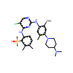 COc1cc(N2CCC(N(C)C)CC2)c(C)cc1Nc1ncc(Cl)c(Nc2ccc(C)c(C)c2P(C)(C)=O)n1